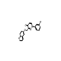 O=c1ccn(-c2cccc(Br)c2)nc1COc1ccc2ncccc2c1